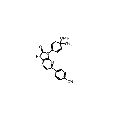 COC1(C)C=CC(n2c(=O)[nH]c3ncc(-c4ccc(O)cc4)nc32)=CC1